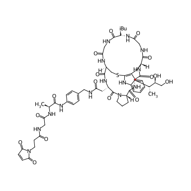 CC[C@H](C)[C@@H]1NC(=O)CNC(=O)[C@H]2Cc3c([nH]c4ccccc34)SC[C@H](NC(=O)CNC1=O)C(=O)N[C@@H](CC(=O)NCc1ccc(NC(=O)[C@H](C)NC(=O)CNC(=O)CCN3C(=O)C=CC3=O)cc1)C(=O)N1CCC[C@H]1C(=O)N[C@@H]([C@@H](C)[C@@H](O)CO)C(=O)N2